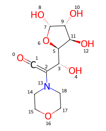 O=C=C([C@@H](O)[C@H]1O[C@H](O)[C@H](O)[C@H]1O)N1CCOCC1